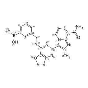 Cc1nc2c(C(N)=O)cccn2c1-c1nc2c(c(NCc3cccc(B(O)O)c3)n1)OCC2